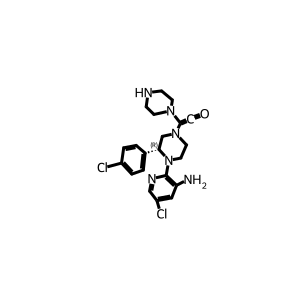 Nc1cc(Cl)cnc1N1CCN(C(=C=O)N2CCNCC2)C[C@H]1c1ccc(Cl)cc1